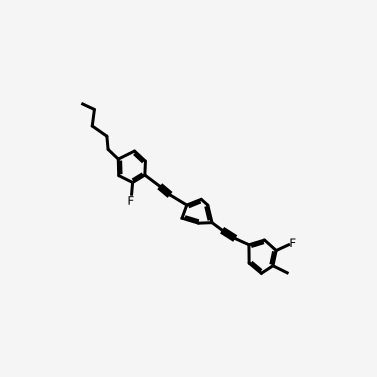 CCCCCc1ccc(C#Cc2ccc(C#Cc3ccc(C)c(F)c3)cc2)c(F)c1